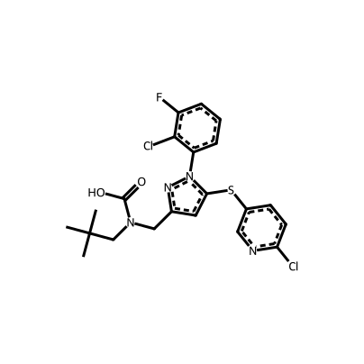 CC(C)(C)CN(Cc1cc(Sc2ccc(Cl)nc2)n(-c2cccc(F)c2Cl)n1)C(=O)O